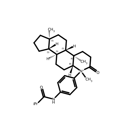 CC(C)C(=O)Nc1ccc([N+]2(C)C(=O)CC[C@@]3(C)[C@H]2CC[C@H]2[C@@H]4CCC[C@@]4(C)CC[C@@H]23)cc1